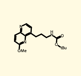 COc1ccc2nccc(CCCNC(=O)OC(C)(C)C)c2n1